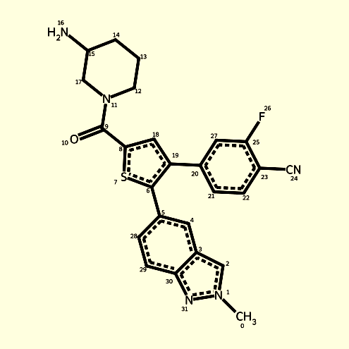 Cn1cc2cc(-c3sc(C(=O)N4CCCC(N)C4)cc3-c3ccc(C#N)c(F)c3)ccc2n1